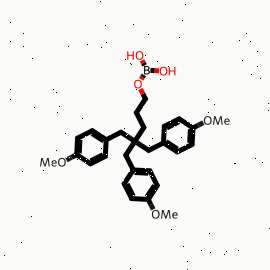 COc1ccc(CC(CCCOB(O)O)(Cc2ccc(OC)cc2)Cc2ccc(OC)cc2)cc1